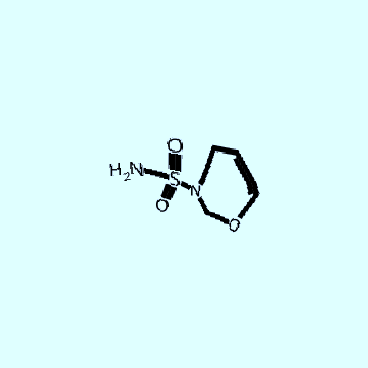 NS(=O)(=O)N1CC=COC1